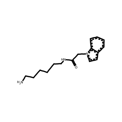 NCCCCCCNC(=O)Cn1c[c]c2ccccc21